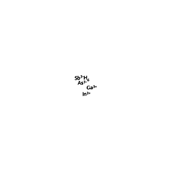 [As-3].[Ga+3].[In+3].[SbH6-3]